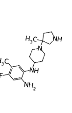 Cc1cc(NC2CCN(C3(C)CCNC3)CC2)c(N)cc1F